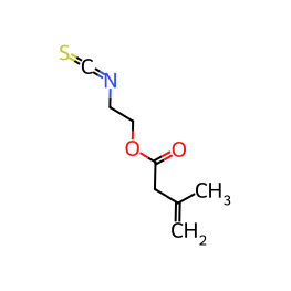 C=C(C)CC(=O)OCCN=C=S